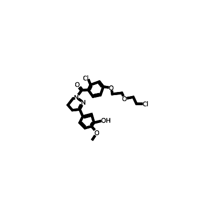 COc1ccc(C2=NN(C(=O)c3ccc(OCCOCCCl)cc3Cl)CCC2)cc1O